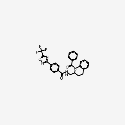 O=C(NCC1CCc2ccccc2N1C(=O)c1ccccc1)c1ccc(-c2noc(C(F)(F)F)n2)cc1